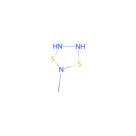 Cn1s[nH][nH]s1